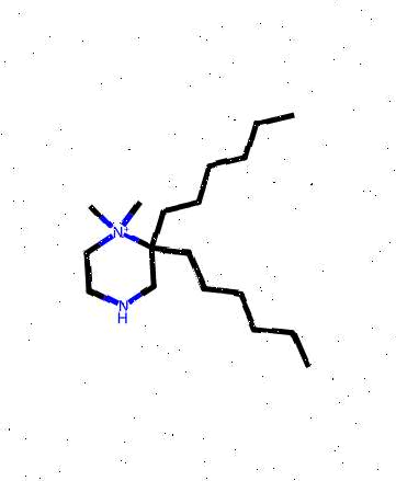 CCCCCCC1(CCCCCC)CNCC[N+]1(C)C